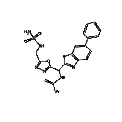 CC(C)C(=O)NC(c1nnc(CNS(N)(=O)=O)o1)c1nc2ccc(-c3ccccc3)cc2s1